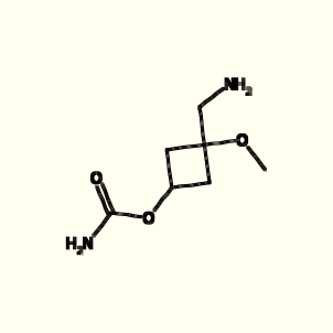 COC1(CN)CC(OC(N)=O)C1